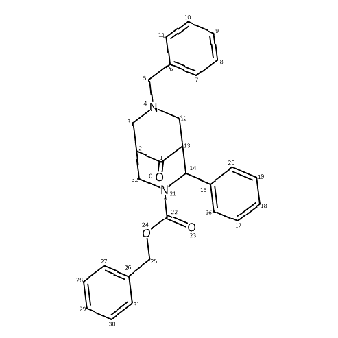 O=C1C2CN(Cc3ccccc3)CC1C(c1ccccc1)N(C(=O)OCc1ccccc1)C2